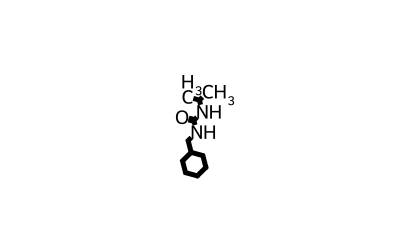 CC(C)NC(=O)NCC1CCCCC1